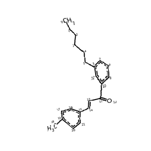 CCCCCCc1cccc(C(=O)C=Cc2ccc(C)cc2)c1